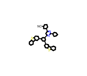 N#Cc1cccc(-c2cc(-c3cc(-c4ccc5sc6ccccc6c5c4)cc(-c4ccc5sc6ccccc6c5c4)c3)nc(-c3ccccc3)n2)c1